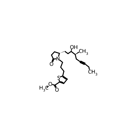 CCC#CC[C@H](C)[C@H](O)CC[C@H]1CCC(=O)N1CCCc1ccc(C(=O)OC)s1